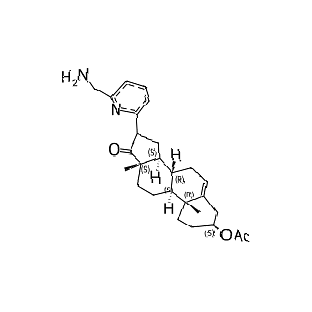 CC(=O)O[C@H]1CC[C@@]2(C)C(=CC[C@@H]3[C@@H]2CC[C@]2(C)C(=O)C(c4cccc(CN)n4)C[C@@H]32)C1